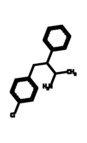 CC(N)C(Cc1ccc(Cl)cc1)c1ccccc1